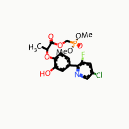 COP(=O)(COC(=O)C(C)Oc1ccc(-c2ncc(Cl)cc2F)cc1O)OC